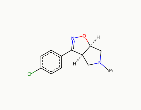 CC(C)N1C[C@@H]2ON=C(c3ccc(Cl)cc3)[C@@H]2C1